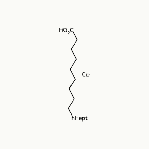 CCCCCCCCCCCCCCCC(=O)O.[Cu]